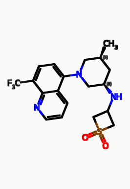 C[C@H]1C[C@@H](NC2CS(=O)(=O)C2)CN(c2ccc(C(F)(F)F)c3ncccc23)C1